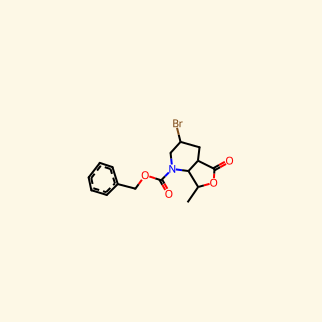 CC1OC(=O)C2CC(Br)CN(C(=O)OCc3ccccc3)C12